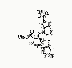 COC(=O)C1=C(CN2CCOC3CN(C(=O)OC(C)(C)C)CC32)NC(c2ncc(F)cc2F)=NC1